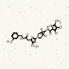 Cc1cccc(CNC(=O)Cc2nc(N3C[C@@H]4C(NC(=O)c5[nH]c(C)c(Cl)c5Cl)[C@@H]4C3)sc2C(=O)O)c1